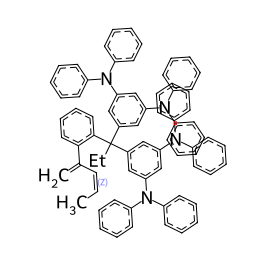 C=C(/C=C\C)c1ccccc1C(CC)(c1cc(N(c2ccccc2)c2ccccc2)cc(N(c2ccccc2)c2ccccc2)c1)c1cc(N(c2ccccc2)c2ccccc2)cc(N(c2ccccc2)c2ccccc2)c1